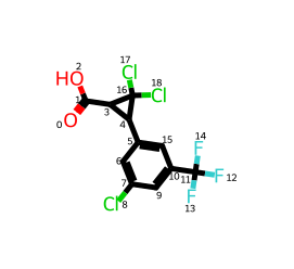 O=C(O)C1C(c2cc(Cl)cc(C(F)(F)F)c2)C1(Cl)Cl